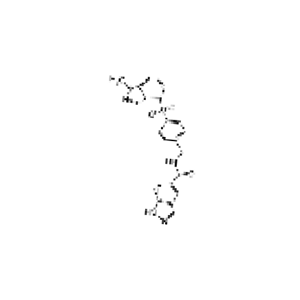 Cn1ncc2c(S(=O)(=O)c3ccc(CNC(=O)c4cnc5[nH]ncc5c4)cc3)cccc21